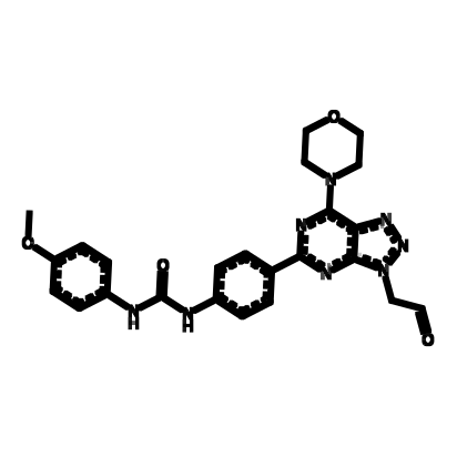 COc1ccc(NC(=O)Nc2ccc(-c3nc(N4CCOCC4)c4nnn(CC=O)c4n3)cc2)cc1